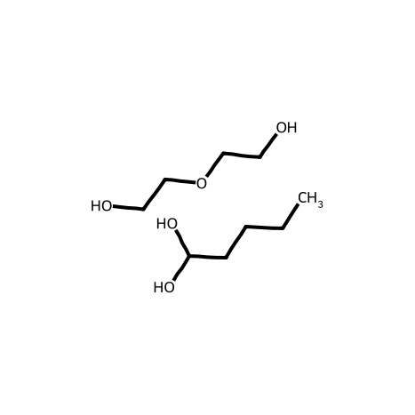 CCCCC(O)O.OCCOCCO